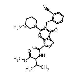 COC(=O)C(NC(=O)c1csc2c(=O)n(Cc3ccccc3C#N)c(N3CCC[C@@H](N)C3)nc12)C(C)C